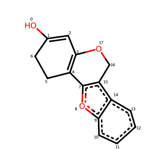 OC1=CC2=C(CC1)c1oc3ccccc3c1CO2